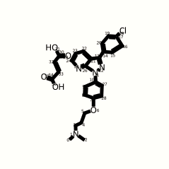 CN(C)CCCOc1ccc(-n2nc(-c3ccc(Cl)cc3)c3cccnc32)cc1.O=C(O)C=CC(=O)O